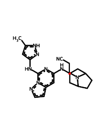 Cc1cc(Nc2nc(NC3CC4CCC(C3)N4CCC#N)cc3ccnn23)n[nH]1